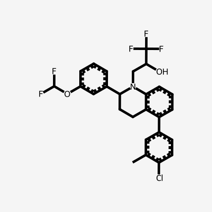 Cc1cc(-c2cccc3c2CCC(c2cccc(OC(F)F)c2)N3CC(O)C(F)(F)F)ccc1Cl